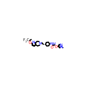 C[C@@H](Oc1ccc2c(n1)CCN(CC[C@H]1CC[C@H](NC(=O)COc3cnn(C)c3)CC1)CC2)C(F)(F)F